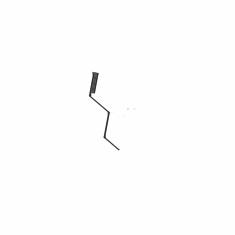 C=CCCCC.[SnH2]